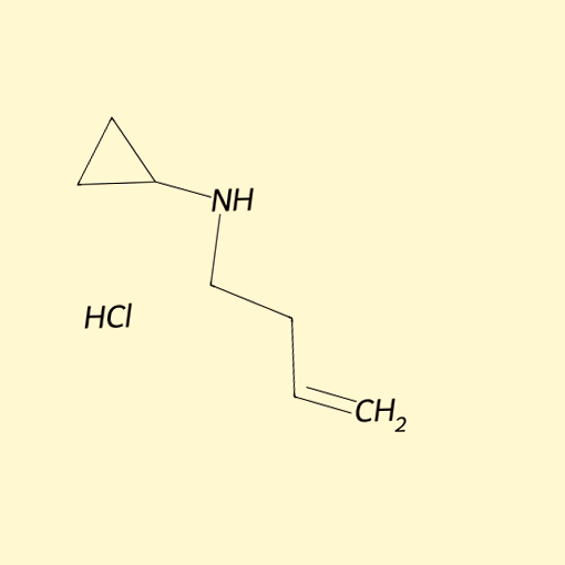 C=CCCNC1CC1.Cl